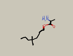 CCCC(C)(C)CCCOC(=O)C(C)N